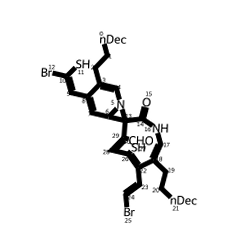 CCCCCCCCCCCCC1=CN2C(C=C1/C=C(\S)Br)C21C(=O)N/C=C(/CCCCCCCCCCCC)C(/C=C/Br)=C(S)/C=C/1C=O